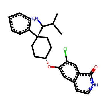 CC(C)C(N)[C@]1(c2ccccc2)CC[C@@H](Oc2cc3cc[nH]c(=O)c3cc2Cl)CC1